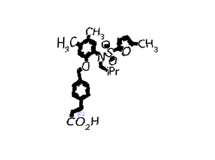 Cc1ccc(S(=O)(=O)N(CC(C)C)c2cc(C)c(C)cc2OCc2ccc(/C=C/C(=O)O)cc2)o1